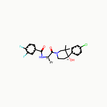 CC(C)[C@@H](NC(=O)c1ccc(F)c(F)c1)C(=O)N1CC[C@](O)(c2ccc(Cl)cc2)C(C)(C)C1